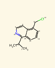 CC(C)c1nccc2c(CCl)cccc12